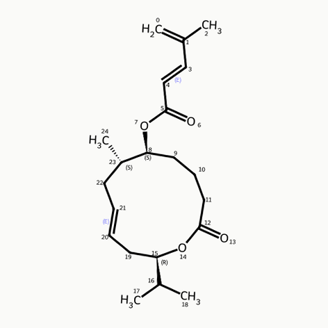 C=C(C)/C=C/C(=O)O[C@H]1CCCC(=O)O[C@@H](C(C)C)C/C=C/C[C@@H]1C